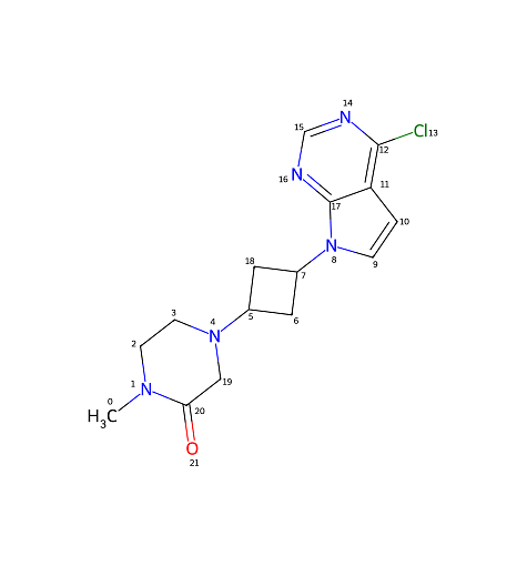 CN1CCN(C2CC(n3ccc4c(Cl)ncnc43)C2)CC1=O